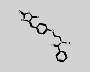 CN(CCOc1ccc(C=C2NC(=O)SC2=O)cc1)C(=O)c1ccccc1